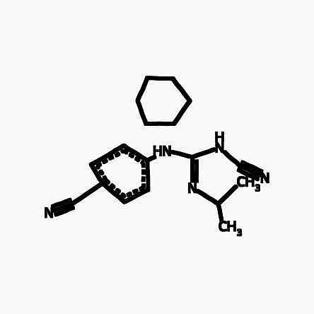 C1CCCCC1.CC(C)N=C(NC#N)Nc1ccc(C#N)cc1